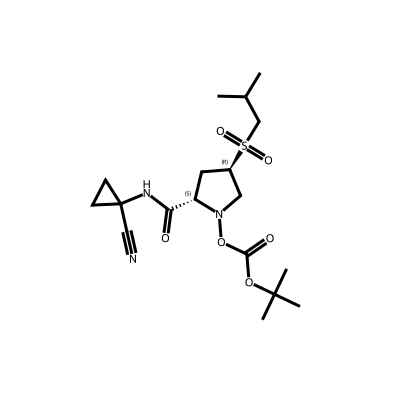 CC(C)CS(=O)(=O)[C@@H]1C[C@@H](C(=O)NC2(C#N)CC2)N(OC(=O)OC(C)(C)C)C1